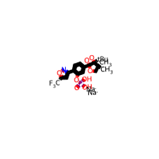 CC(C)(C)C12OOC1(c1ccc(-c3cc(C(F)(F)F)on3)c(OP(=O)(O)O)c1)OCC2(C)C.[Na].[Na]